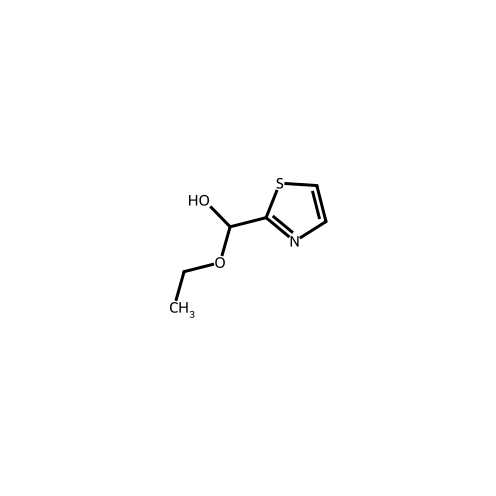 CCOC(O)c1nccs1